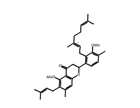 COc1c(C)ccc(C2CC(=O)c3c(cc(C)c(CC=C(C)C)c3OC)O2)c1C/C=C(\C)CCC=C(C)C